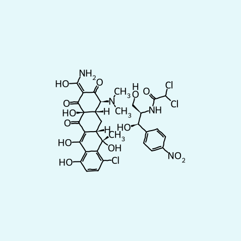 CN(C)[C@@H]1C(=O)/C(=C(\N)O)C(=O)[C@@]2(O)C(=O)C3=C(O)c4c(O)ccc(Cl)c4[C@@](C)(O)[C@H]3C[C@@H]12.O=C(N[C@H](CO)[C@H](O)c1ccc([N+](=O)[O-])cc1)C(Cl)Cl